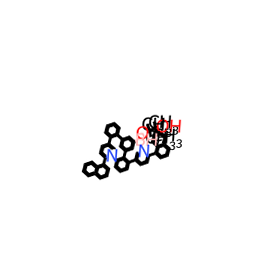 CC(C)(O)C(C)(C)OBc1cc(-c2ccccc2-c2ccc(-c3cccc4ccccc34)nc2)cc(-c2ccccc2-c2ccc(-c3cccc4ccccc34)nc2)c1